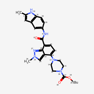 Cc1cc2cc(NC(=O)c3ccc(N4CCN(C(=O)OC(C)(C)C)CC4)c4cn(C)nc34)ccc2[nH]1